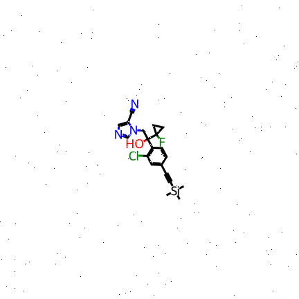 C[Si](C)(C)C#Cc1ccc(C(O)(Cn2cncc2C#N)C2(F)CC2)c(Cl)c1